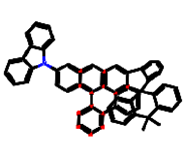 CC1(C)c2ccccc2C2(c3ccccc3-c3ccc(N(c4ccc(-n5c6ccccc6c6ccccc65)cc4)c4ccccc4-c4ccccc4-c4ccccc4-c4ccccc4)cc32)c2ccccc21